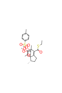 CCSC(=O)C1=C2CC[C@H](C)C23C(=O)C(OC)(OC)C1(C)C(OS(=O)(=O)c1ccc(C)cc1)=C3C